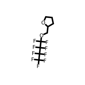 FC(F)(F)C(F)(F)C(F)(F)C(F)(F)OCC1CCCO1